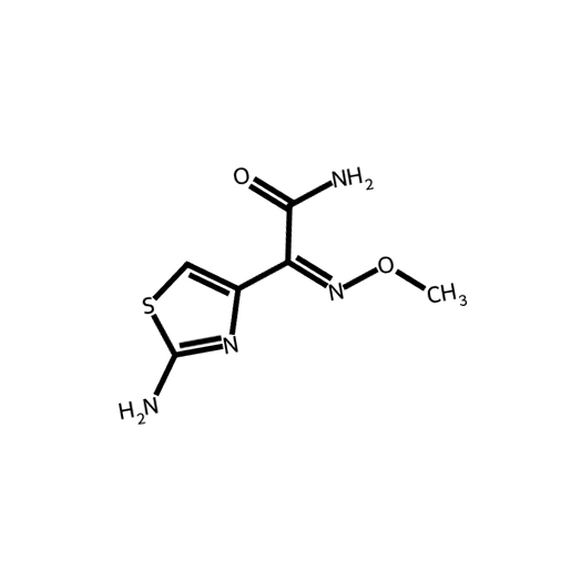 CO/N=C(\C(N)=O)c1csc(N)n1